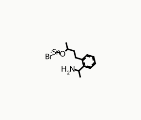 CC(CCc1ccccc1C(C)N)[O][Sn][Br]